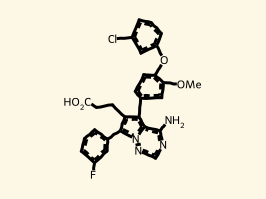 COc1cc(-c2c(CCC(=O)O)c(-c3cccc(F)c3)n3ncnc(N)c23)ccc1Oc1cccc(Cl)c1